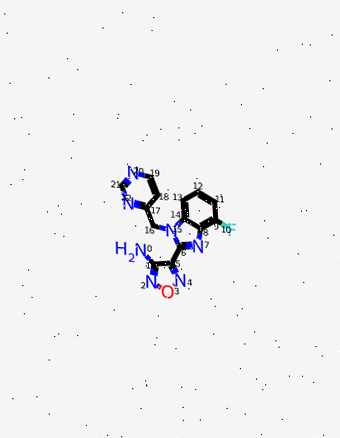 Nc1nonc1-c1nc2c(F)cccc2n1Cc1ccncn1